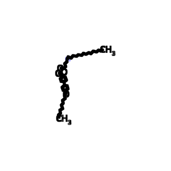 CCCCCCCCCCCCCC/C=C\CCCC(=O)OC(=O)c1ccc(-c2ccc(OCCCCCCCCCC)cc2)cc1